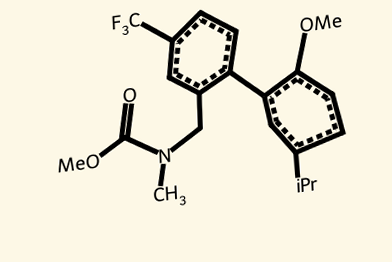 COC(=O)N(C)Cc1cc(C(F)(F)F)ccc1-c1cc(C(C)C)ccc1OC